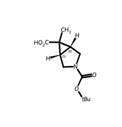 CC(C)(C)OC(=O)N1C[C@@H]2[C@H](C1)C2(C)C(=O)O